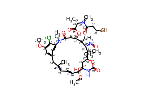 COc1cc2cc(c1Cl)N(C)C(=O)C[C@H](OC(=O)[C@H](C)N(C)C(=O)CCS)[C@@H](C)[C@@H](N=O)[C@H](C)[C@]1(C)C[C@@](O)(NC(=O)O1)[C@H](OC)/C=C/C=C(\C)C2